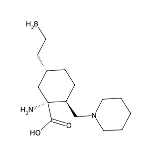 BCC[C@@H]1CC[C@@H](CN2CCCCC2)[C@@](N)(C(=O)O)C1